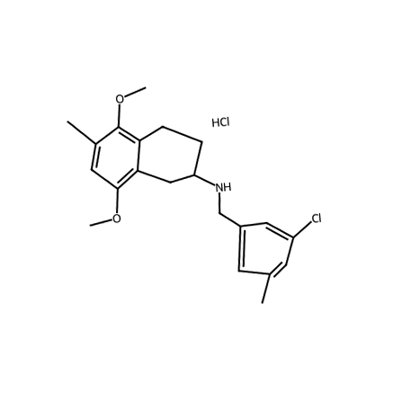 COc1cc(C)c(OC)c2c1CC(NCc1cc(C)cc(Cl)c1)CC2.Cl